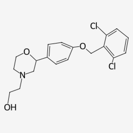 OCCN1CCOC(c2ccc(OCc3c(Cl)cccc3Cl)cc2)C1